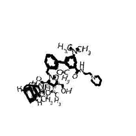 COc1c(CN2O[C@@H](CO)[C@H]([C@H](C)O)[C@H]2C(=O)N[C@H]2C[C@H]3C[C@@H]([C@@H]2C)C3(C)C)cccc1-c1cc(C(=O)NCCN2CCCCC2)cc(N(C)C)c1